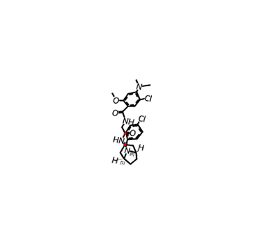 COc1cc(N(C)C)c(Cl)cc1C(=O)NCC(=O)N[C@H]1C[C@H]2CC[C@@H](C1)N2Cc1ccc(Cl)cc1